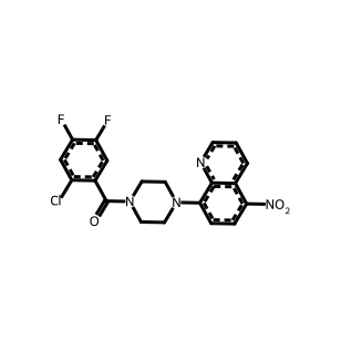 O=C(c1cc(F)c(F)cc1Cl)N1CCN(c2ccc([N+](=O)[O-])c3cccnc23)CC1